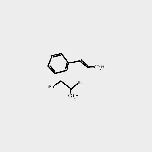 CCC(C)CC(CC)C(=O)O.O=C(O)C=Cc1ccccc1